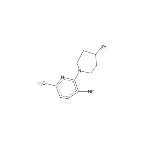 [C-]#[N+]c1ccc(C)nc1N1CCC(C(C)C)CC1